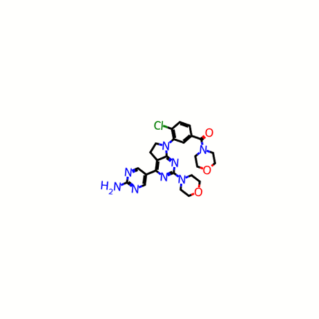 Nc1ncc(-c2nc(N3CCOCC3)nc3c2CCN3c2cc(C(=O)N3CCOCC3)ccc2Cl)cn1